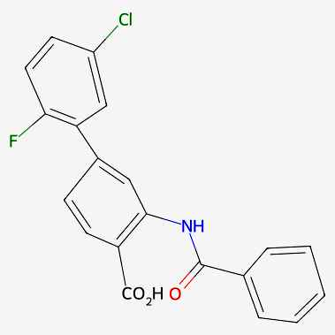 O=C(Nc1cc(-c2cc(Cl)ccc2F)ccc1C(=O)O)c1ccccc1